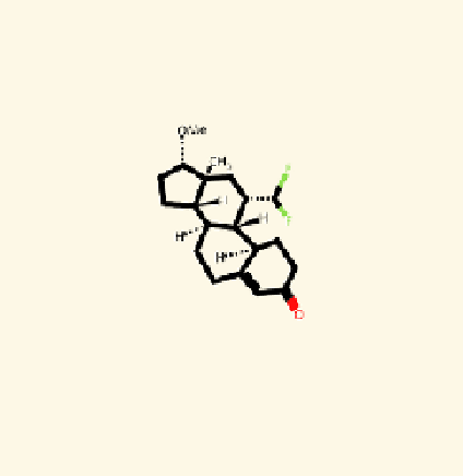 CO[C@H]1CC[C@H]2[C@@H]3CCC4=CC(=O)CC[C@@H]4[C@H]3[C@@H](C(F)F)C[C@]12C